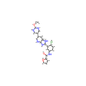 COc1ncc(-c2cnc3nc(-c4cc(NC(=O)c5ccco5)ccc4Cl)[nH]c3c2)cn1